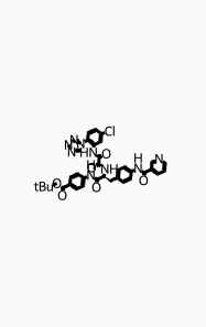 CC(C)(C)OC(=O)c1ccc(NC(=O)[C@H](Cc2ccc(NC(=O)c3cccnc3)cc2)NC(=O)C(=O)Nc2cc(Cl)ccc2-n2cnnn2)cc1